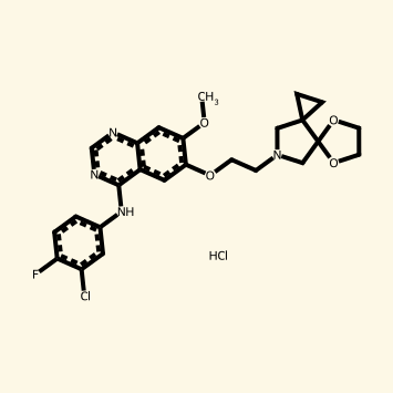 COc1cc2ncnc(Nc3ccc(F)c(Cl)c3)c2cc1OCCN1CC2(CC2)C2(C1)OCCO2.Cl